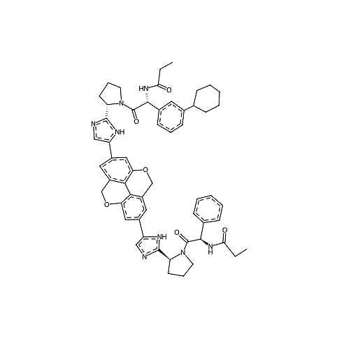 CCC(=O)N[C@@H](C(=O)N1CCC[C@H]1c1ncc(-c2cc3c4c(c2)OCc2cc(-c5cnc([C@@H]6CCCN6C(=O)[C@H](NC(=O)CC)c6cccc(C7CCCCC7)c6)[nH]5)cc(c2-4)OC3)[nH]1)c1ccccc1